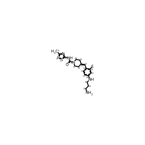 Cc1nsc(NC(=O)N2CCC(=Cc3ccc(NCCCN)cc3F)CC2)n1